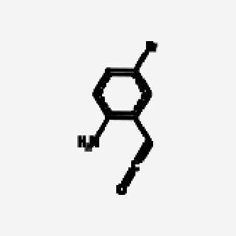 Nc1ccc(Br)cc1C=C=O